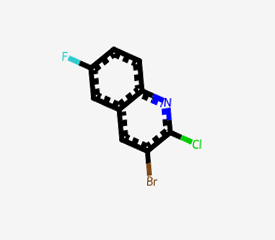 Fc1ccc2nc(Cl)c(Br)cc2c1